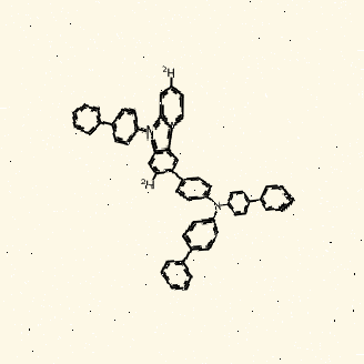 [2H]c1ccc2c3cc(-c4ccc(N(c5ccc(-c6ccccc6)cc5)c5ccc(-c6ccccc6)cc5)cc4)c([2H])cc3n(-c3ccc(-c4ccccc4)cc3)c2c1